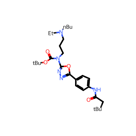 CCCCN(CC)CCCN(C(=O)OC(C)(C)C)c1nnc(-c2ccc(NC(=O)CC(C)(C)C)cc2)o1